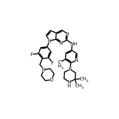 Cc1cc(Nc2ncc3ccn(-c4cc(F)c(CN5CCOCC5)c(F)c4)c3n2)cnc1N1CCNC(C)(C)C1